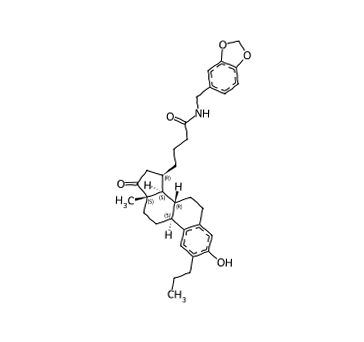 CCCc1cc2c(cc1O)CC[C@H]1[C@@H]3[C@H](CCCC(=O)NCc4ccc5c(c4)OCO5)CC(=O)[C@@]3(C)CC[C@H]21